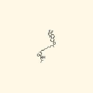 CC(C=CCCCCCC(C)Oc1ccc2nc(C(F)(F)F)ccc2c1)=CC(=O)NCC(C)C